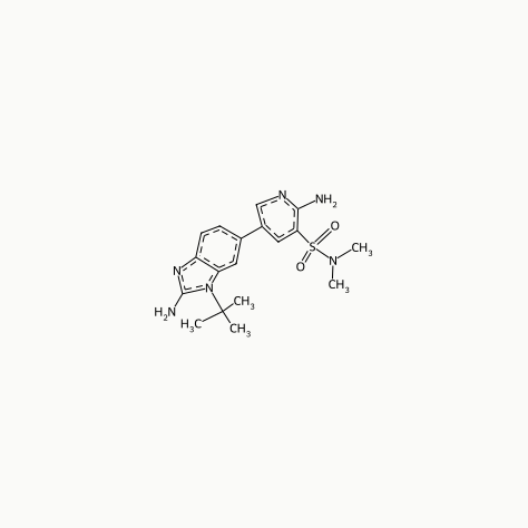 CN(C)S(=O)(=O)c1cc(-c2ccc3nc(N)n(C(C)(C)C)c3c2)cnc1N